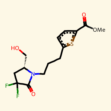 COC(=O)c1ccc(CCCN2C(=O)C(F)(F)C[C@@H]2CO)s1